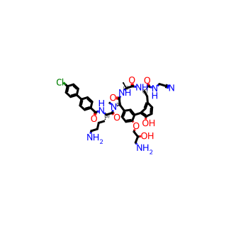 C[C@@H]1NC(=O)[C@@H](N(C)C(=O)[C@H](CCCCN)NC(=O)c2ccc(-c3ccc(Cl)cc3)cc2)c2ccc(OCC(O)CN)c(c2)-c2cc(ccc2O)C[C@@H](C(=O)NCC#N)NC1=O